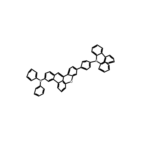 c1ccc(-c2ccccc2N(c2ccccc2)c2ccc(-c3ccc4c(c3)Oc3cccc5c3c-4cc3ccc(N(c4ccccc4)c4ccccc4)cc35)cc2)cc1